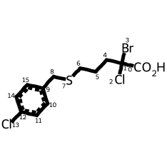 O=C(O)C(Cl)(Br)CCCSCc1ccc(Cl)cc1